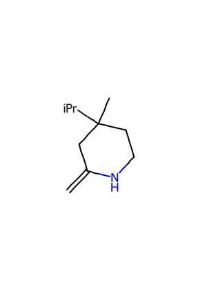 C=C1CC(C)(C(C)C)CCN1